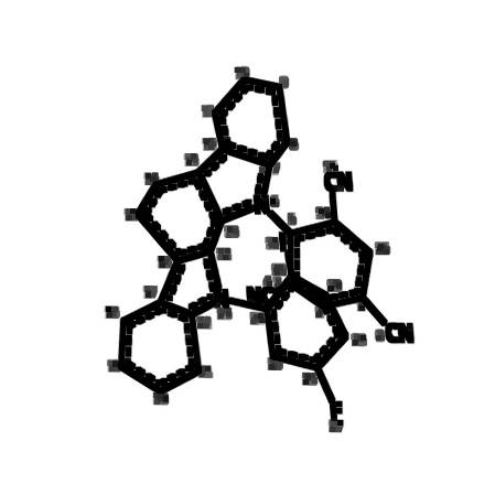 N#Cc1cc(C#N)c(-n2c3ccccc3c3ccc4c5ccccc5n(-c5cc(F)ccc5F)c4c32)c(C#N)c1